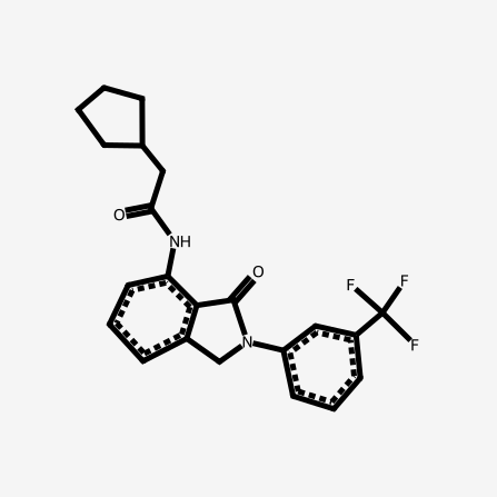 O=C(CC1CCCC1)Nc1cccc2c1C(=O)N(c1cccc(C(F)(F)F)c1)C2